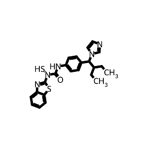 CCC(CC)C(c1ccc(NC(=O)N(S)c2nc3ccccc3s2)cc1)n1ccnc1